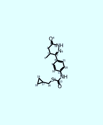 CC1CC(=O)NN=C1c1ccc(NC(=O)SCC2CC2)cc1